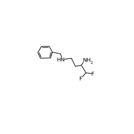 NC(CCNCc1ccccc1)C(F)F